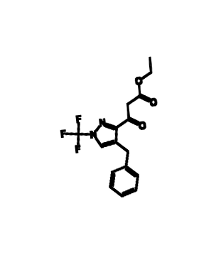 CCOC(=O)CC(=O)c1nn(C(F)(F)F)cc1Cc1ccccc1